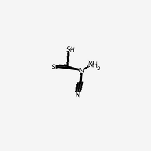 N#CN(N)C(=S)S